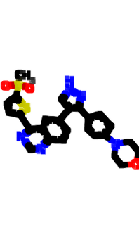 CS(=O)(=O)c1ccc(-c2ncnc3ccc(-c4c[nH]nc4-c4ccc(N5CCOCC5)cc4)cc23)s1